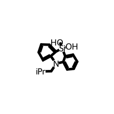 CC(C)CN1c2ccccc2[Si](O)(O)c2ccccc21